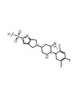 CS(=O)(=O)n1cc2c(n1)CN(C1CN[C@H](C3CC(F)=C(F)C=C3F)C(N)C1)C2